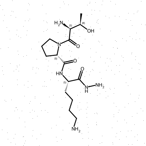 C[C@@H](O)[C@H](N)C(=O)N1CCC[C@H]1C(=O)N[C@@H](CCCCN)C(=O)NN